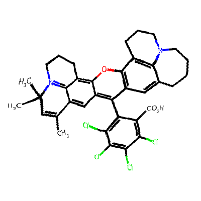 CC1=CC(C)(C)[N+]2=c3c1cc1c(c3CCC2)Oc2c(cc3c4c2CCCN4CCCC3)C=1c1c(Cl)c(Cl)c(Cl)c(Cl)c1C(=O)O